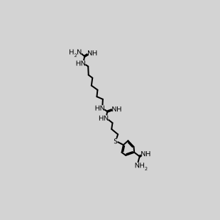 N=C(N)NCCCCCCCNC(=N)NCCCSc1ccc(C(=N)N)cc1